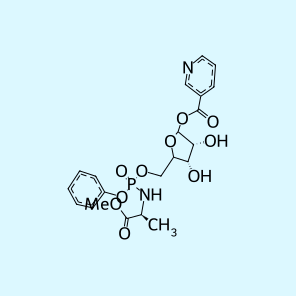 COC(=O)[C@H](C)NP(=O)(OCC1OC(OC(=O)c2cccnc2)[C@H](O)[C@@H]1O)Oc1ccccc1